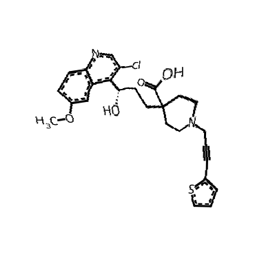 COc1ccc2ncc(Cl)c([C@@H](O)CCC3(C(=O)O)CCN(CC#Cc4cccs4)CC3)c2c1